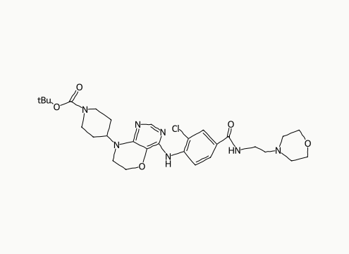 CC(C)(C)OC(=O)N1CCC(N2CCOc3c(Nc4ccc(C(=O)NCCN5CCOCC5)cc4Cl)ncnc32)CC1